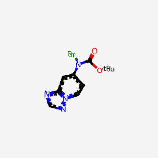 CC(C)(C)OC(=O)N(Br)c1ccn2ncnc2c1